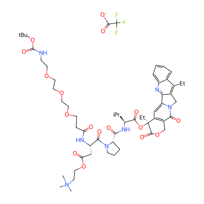 CCc1c2c(nc3ccccc13)-c1cc3c(c(=O)n1C2)COC(=O)[C@@]3(CC)OC(=O)[C@@H](NC(=O)[C@@H]1CCCN1C(=O)[C@H](CC(=O)OCC[N+](C)(C)C)NC(=O)CCOCCOCCOCCNC(=O)OC(C)(C)C)C(C)C.O=C([O-])C(F)(F)F